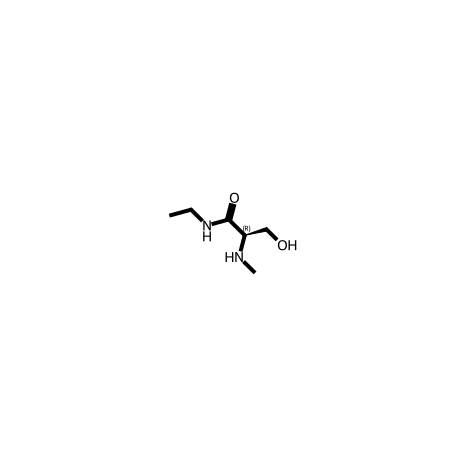 CCNC(=O)[C@@H](CO)NC